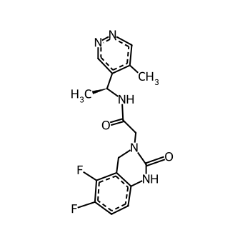 Cc1cnncc1[C@H](C)NC(=O)CN1Cc2c(ccc(F)c2F)NC1=O